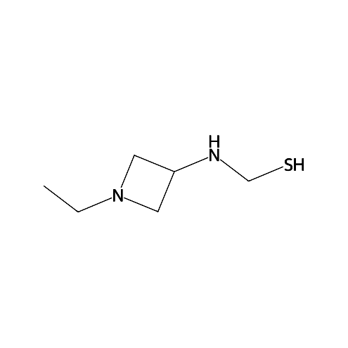 CCN1CC(NCS)C1